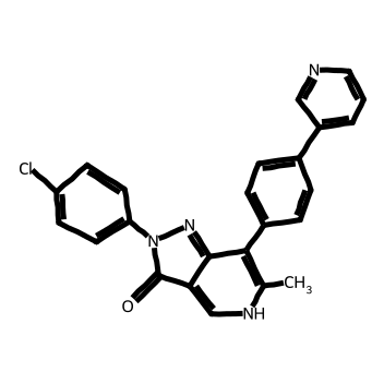 Cc1[nH]cc2c(=O)n(-c3ccc(Cl)cc3)nc-2c1-c1ccc(-c2cccnc2)cc1